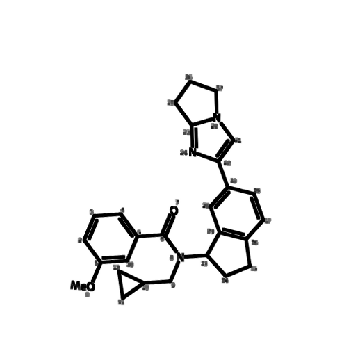 COc1cccc(C(=O)N(CC2CC2)C2CCc3ccc(-c4cn5c(n4)CCC5)cc32)c1